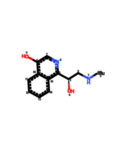 CC(C)(C)NC[C@H](O)c1ncc(O)c2ccccc12